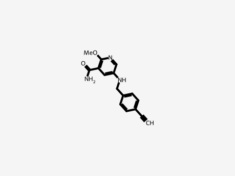 C#Cc1ccc(CNc2cnc(OC)c(C(N)=O)c2)cc1